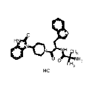 CC(C)(N)C(=O)NC(Cc1csc2ccccc12)C(=O)N1CCC(n2c(=O)[nH]c3ccccc32)CC1.Cl